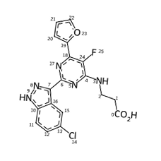 O=C(O)CCNc1nc(-c2n[nH]c3ccc(Cl)cc23)nc(-c2ccco2)c1F